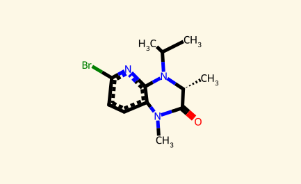 CC(C)N1c2nc(Br)ccc2N(C)C(=O)[C@H]1C